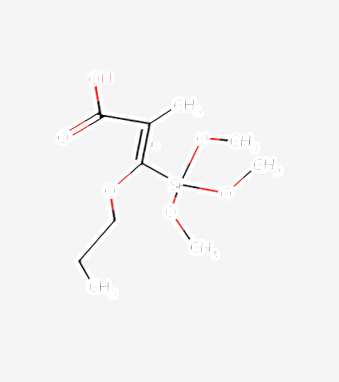 CCCO/C(=C(/C)C(=O)O)[Si](OC)(OC)OC